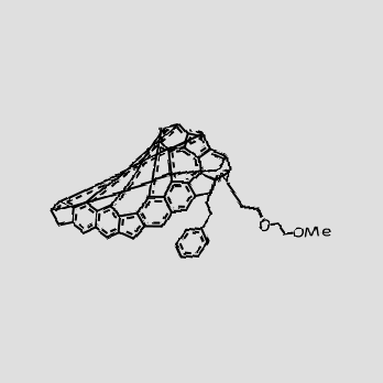 COCCOCCN1CC2C3=c4c5c6c7c(cc8cc9cc%10cc%11cc%12c%13c(c4c4c5c5c7c8c7c9c%10c8c%11c%13c4c8c75)=C(C3)C%12)CC62C1CCc1ccccc1